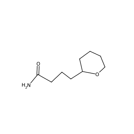 NC(=O)CCCC1CCCCO1